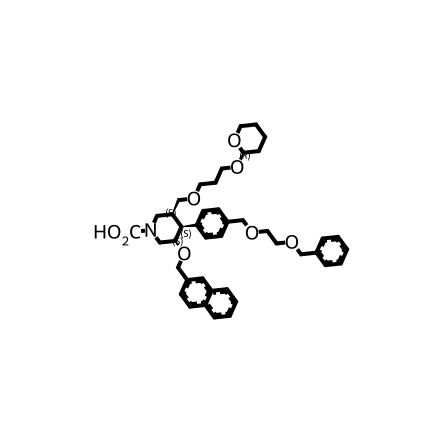 O=C(O)N1C[C@@H](COCCCO[C@@H]2CCCCO2)[C@@H](c2ccc(COCCOCc3ccccc3)cc2)[C@H](OCc2ccc3ccccc3c2)C1